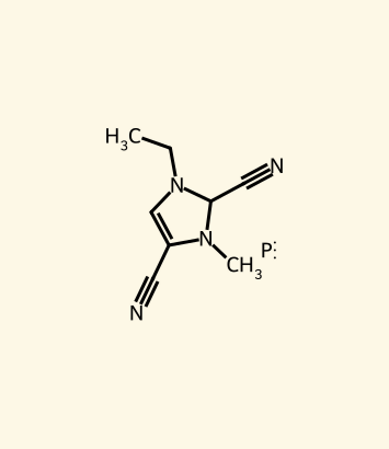 CCN1C=C(C#N)N(C)C1C#N.[P]